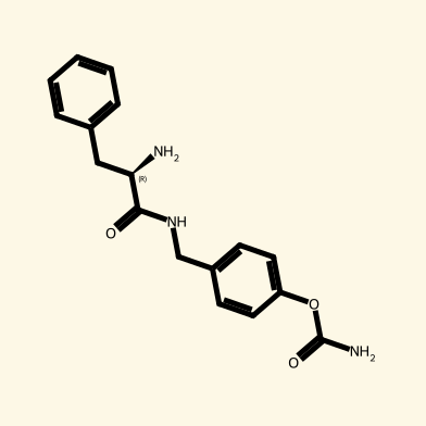 NC(=O)Oc1ccc(CNC(=O)[C@H](N)Cc2ccccc2)cc1